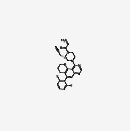 C=CC(=O)N1CCN(c2ncnc3cc(-c4c(F)cccc4F)c4c(c23)OCCC4)C[C@@H]1CC#N